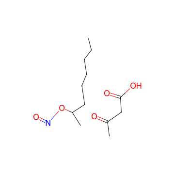 CC(=O)CC(=O)O.CCCCCCC(C)ON=O